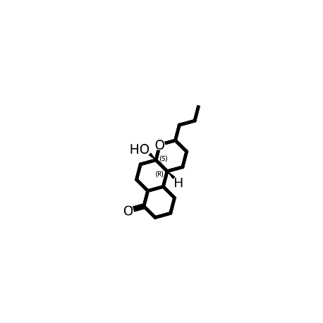 CCCC1CC[C@@H]2C3CCCC(=O)C3CC[C@]2(O)O1